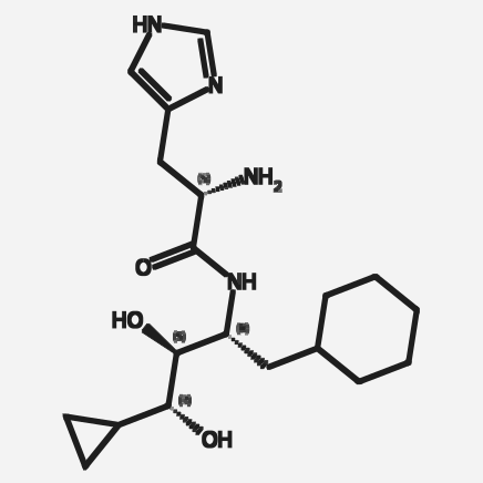 N[C@@H](Cc1c[nH]cn1)C(=O)N[C@H](CC1CCCCC1)[C@H](O)[C@H](O)C1CC1